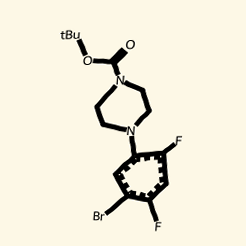 CC(C)(C)OC(=O)N1CCN(c2cc(Br)c(F)cc2F)CC1